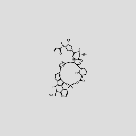 C=CC(=O)N(C)[C@H]1CN(C(=O)N(C)[C@H](C(=O)N[C@H]2Cc3nc(cs3)-c3ccc4c(c3)c(c(-c3cccnc3[C@H](C)OC)n4CC)CC(C)(C)COC(=O)[C@@H]3CCCN(N3)C2=O)C(C)C)C[C@@H]1CC